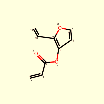 C=CC(=O)Oc1ccoc1C=C